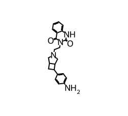 Nc1ccc(C2CC3CN(CCn4c(=O)[nH]c5ccccc5c4=O)CC32)cc1